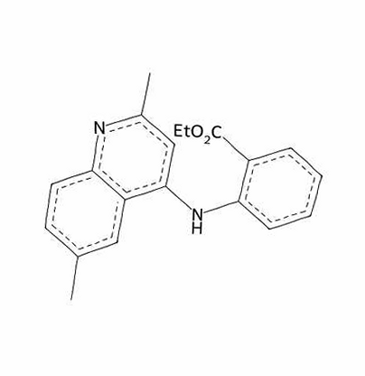 CCOC(=O)c1ccccc1Nc1cc(C)nc2ccc(C)cc12